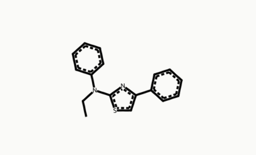 CCN(c1ccccc1)c1nc(-c2ccccc2)cs1